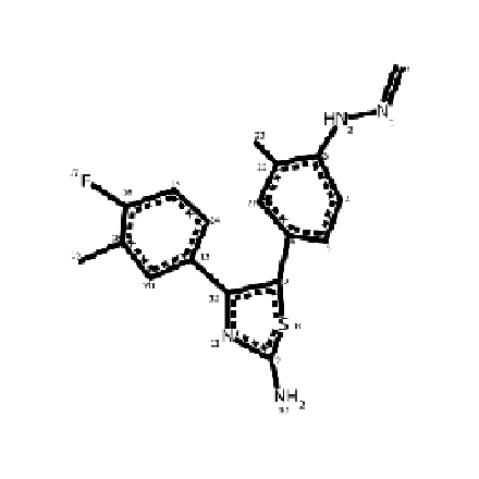 C=NNc1ccc(-c2sc(N)nc2-c2ccc(F)c(C)c2)cc1C